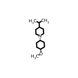 CO[C@H]1CC[C@H](N2CCC(C(C)C)CC2)CC1